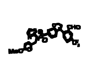 COc1ccc(CN(c2nccs2)S(=O)(=O)c2ccc3c(c2)OCCN3c2ccc(C(F)(F)F)cc2C=O)cc1